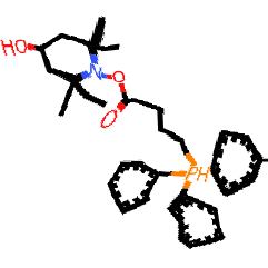 CC1(C)CC(O)CC(C)(C)N1OC(=O)CCC[PH](c1ccccc1)(c1ccccc1)c1ccccc1